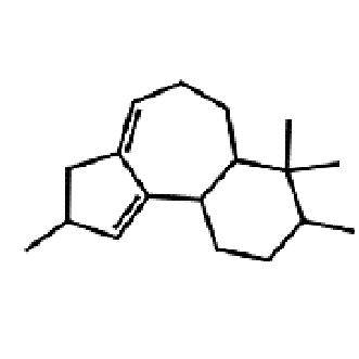 CC1C=C2C(=CCCC3C2CCC(C)C3(C)C)C1